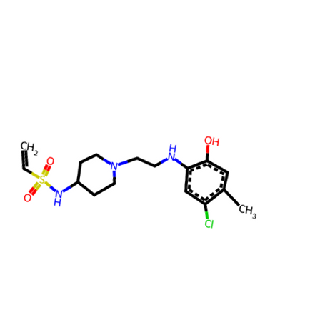 C=CS(=O)(=O)NC1CCN(CCNc2cc(Cl)c(C)cc2O)CC1